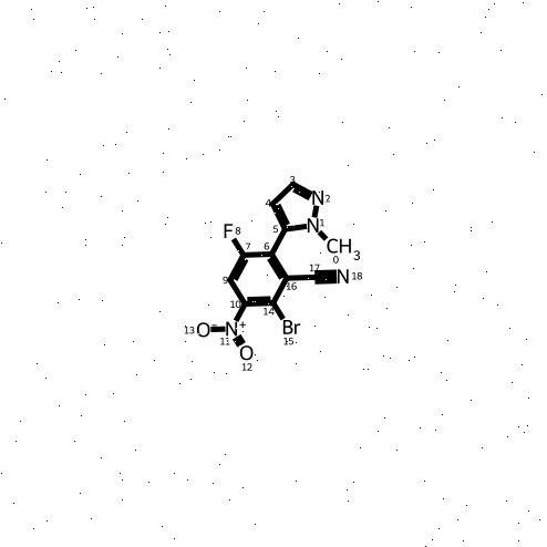 Cn1nccc1-c1c(F)cc([N+](=O)[O-])c(Br)c1C#N